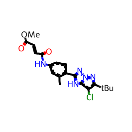 COC(=O)C=CC(=O)Nc1ccc(-c2nn3nc(C(C)(C)C)c(Cl)c3[nH]2)c(C)c1